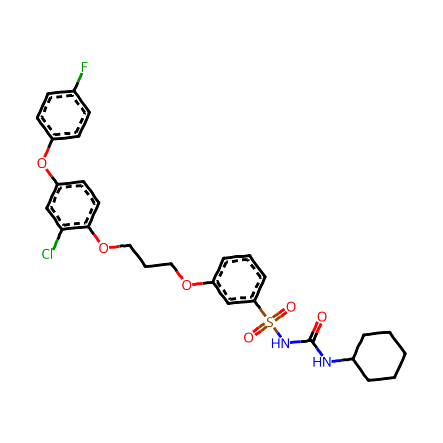 O=C(NC1CCCCC1)NS(=O)(=O)c1cccc(OCCCOc2ccc(Oc3ccc(F)cc3)cc2Cl)c1